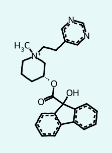 C[N+]1(CCc2cncnc2)CCC[C@@H](OC(=O)C2(O)c3ccccc3-c3ccccc32)C1